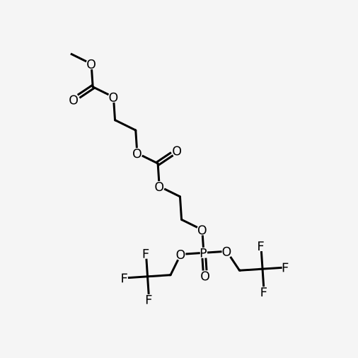 COC(=O)OCCOC(=O)OCCOP(=O)(OCC(F)(F)F)OCC(F)(F)F